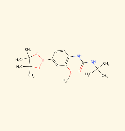 COc1cc(B2OC(C)(C)C(C)(C)O2)ccc1NC(=O)NC(C)(C)C